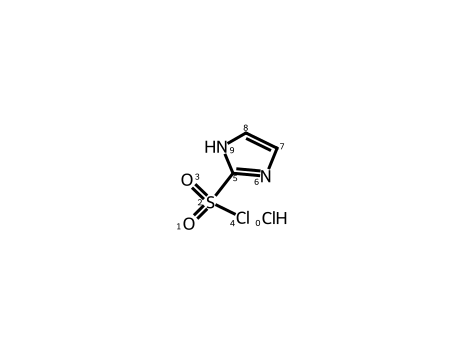 Cl.O=S(=O)(Cl)c1ncc[nH]1